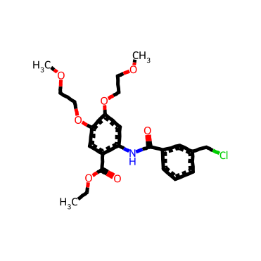 CCOC(=O)c1cc(OCCOC)c(OCCOC)cc1NC(=O)c1cccc(CCl)c1